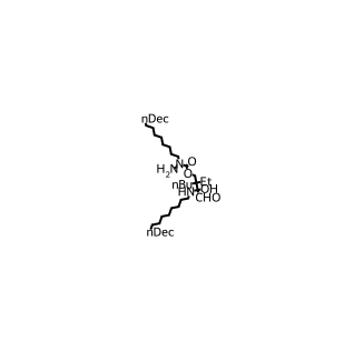 CCCCCCCCCCCCCCCCCCNC(O)(C=O)C(CC)(CCCC)COC(=O)N(N)CCCCCCCCCCCCCCCCCC